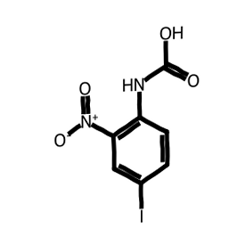 O=C(O)Nc1ccc(I)cc1[N+](=O)[O-]